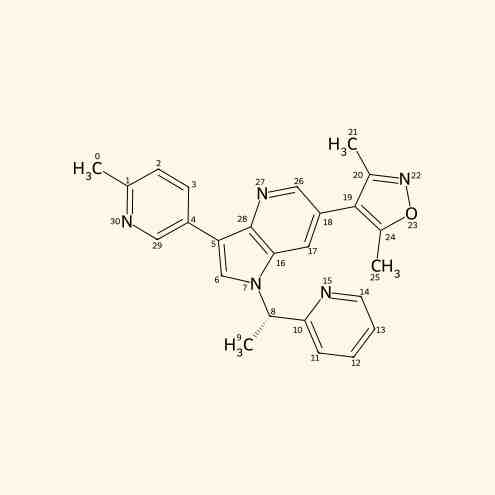 Cc1ccc(-c2cn([C@@H](C)c3ccccn3)c3cc(-c4c(C)noc4C)cnc23)cn1